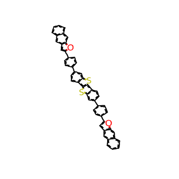 c1ccc2cc3oc(-c4ccc(-c5ccc6c(c5)sc5c7ccc(-c8ccc(-c9cc%10cc%11ccccc%11cc%10o9)cc8)cc7sc65)cc4)cc3cc2c1